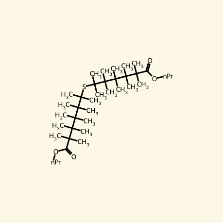 CCCOC(=O)C(C)(C)C(C)(C)C(C)(C)C(C)(C)C(C)(C)SC(C)(C)C(C)(C)C(C)(C)C(C)(C)C(C)(C)C(=O)OCCC